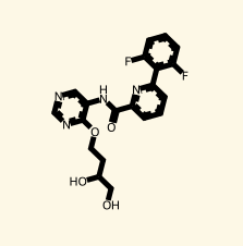 O=C(Nc1cncnc1OCCC(O)CO)c1cccc(-c2c(F)cccc2F)n1